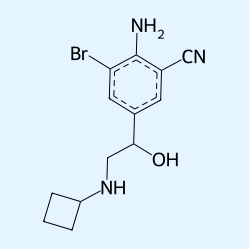 N#Cc1cc(C(O)CNC2CCC2)cc(Br)c1N